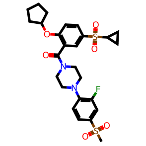 CS(=O)(=O)c1ccc(N2CCN(C(=O)c3cc(S(=O)(=O)C4CC4)ccc3OC3CCCC3)CC2)c(F)c1